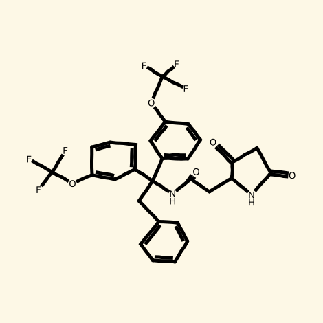 O=C1CC(=O)C(CC(=O)NC(Cc2ccccc2)(c2cccc(OC(F)(F)F)c2)c2cccc(OC(F)(F)F)c2)N1